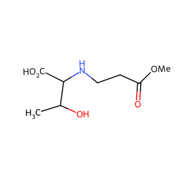 COC(=O)CCNC(C(=O)O)C(C)O